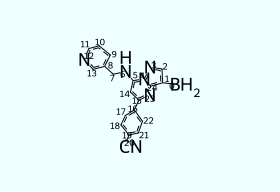 Bc1cnn2c(NCc3cccnc3)cc(-c3ccc(C#N)cc3)nc12